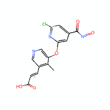 Cc1c(/C=C/C(=O)O)cncc1Oc1cc(C(=O)N=O)cc(Cl)n1